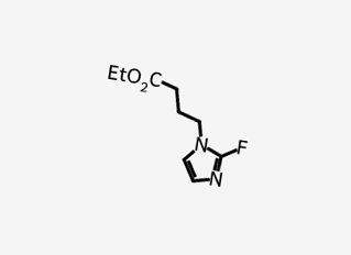 CCOC(=O)CCCn1ccnc1F